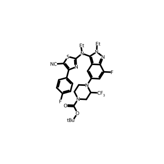 CCN(c1nc(-c2ccc(F)cc2)c(C#N)s1)c1c2cc(N3CCN(C(=O)OC(C)(C)C)CC3C(F)(F)F)cc(F)c2nn1CC